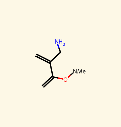 C=C(CN)C(=C)ONC